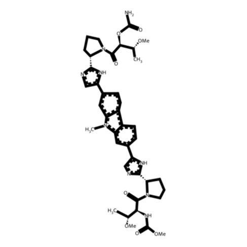 COC(=O)N[C@H](C(=O)N1CCC[C@H]1c1ncc(-c2ccc3c4ccc(-c5cnc([C@@H]6CCCN6C(=O)[C@@H](OC(N)=O)[C@@H](C)OC)[nH]5)cc4n(C)c3c2)[nH]1)[C@@H](C)OC